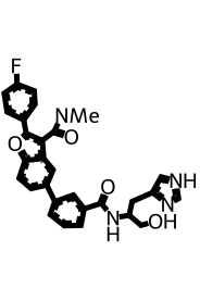 CNC(=O)c1c(-c2ccc(F)cc2)oc2ccc(-c3cccc(C(=O)NC(CO)Cc4c[nH]cn4)c3)cc12